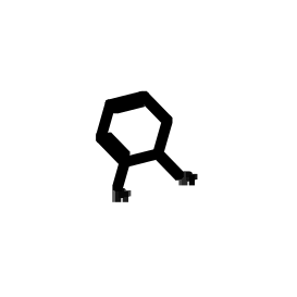 CC(C)C1=CC=CCC1C(C)C